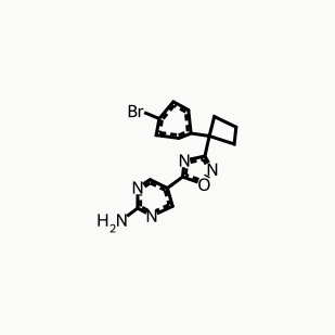 Nc1ncc(-c2nc(C3(c4ccc(Br)cc4)CCC3)no2)cn1